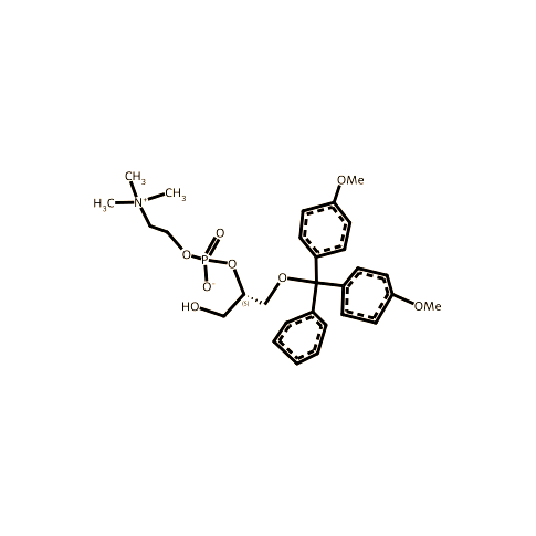 COc1ccc(C(OC[C@H](CO)OP(=O)([O-])OCC[N+](C)(C)C)(c2ccccc2)c2ccc(OC)cc2)cc1